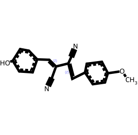 COc1ccc(/C=C(C#N)/C(C#N)=C/c2ccc(O)cc2)cc1